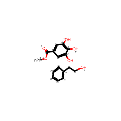 CCCOC(=O)c1cc(O)c(O)c(O)c1.OCCc1ccccc1